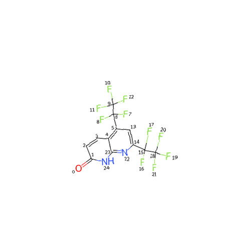 O=c1ccc2c(C(F)(F)C(F)(F)F)cc(C(F)(F)C(F)(F)F)nc2[nH]1